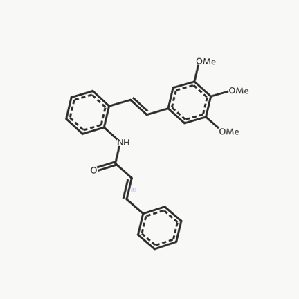 COc1cc(C=Cc2ccccc2NC(=O)/C=C/c2ccccc2)cc(OC)c1OC